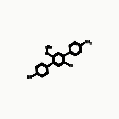 CCCCOc1cc(-c2ccc(N)cc2)c(CC)cc1-c1ccc(S)cc1